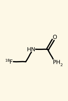 O=C(P)NC[18F]